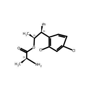 CC(C)[C@@H](c1ccc(Cl)cc1Cl)[C@H](C)OC(=O)[C@H](C)N